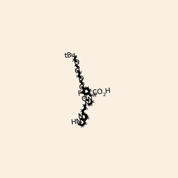 CC(C)(C)CCOCCOCCOCCOc1ccc([C@H](CC(=O)O)N2CCN(CCCc3ccc4c(n3)NCCC4)C2=O)cc1F